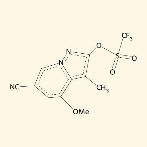 COc1cc(C#N)cn2nc(OS(=O)(=O)C(F)(F)F)c(C)c12